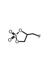 O=S1(=O)OCC(CF)O1